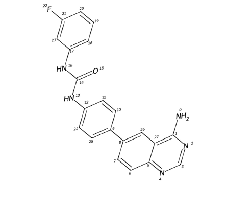 Nc1ncnc2ccc(-c3ccc(NC(=O)Nc4cccc(F)c4)cc3)cc12